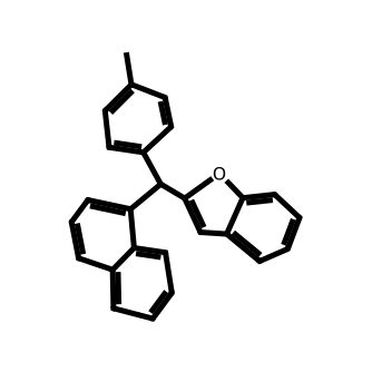 Cc1ccc(C(c2cc3ccccc3o2)c2cccc3ccccc23)cc1